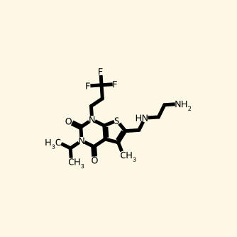 Cc1c(CNCCN)sc2c1c(=O)n(C(C)C)c(=O)n2CCC(F)(F)F